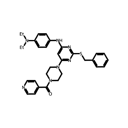 CCN(CC)c1ccc(Nc2cc(N3CCN(C(=O)c4ccncc4)CC3)nc(SCc3ccccc3)n2)cc1